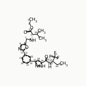 CCOC(=O)[C@@H](NCc1cnc(-c2cccc(-c3cc(C(=O)NC(CC)C(F)(F)F)[nH]n3)c2)o1)C(C)C